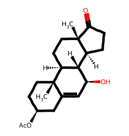 CC(=O)O[C@H]1CC[C@@]2(C)C(=C[C@H](O)[C@@H]3[C@@H]2CC[C@]2(C)C(=O)CC[C@@H]32)C1